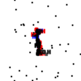 O=C(COc1cccc(C(O)(C(=O)O)c2ccccc2)c1)N1C[C@@H]2CCN(C(=O)c3ccc(CCNCC(O)c4ccc(O)c5[nH]c(=O)ccc45)cc3)[C@@H]2C1